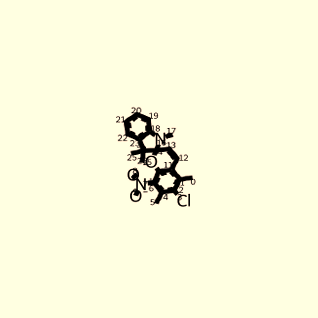 Cc1c(Cl)c(C)c([N+](=O)[O-])c2c1C=CC1(O2)N(C)c2ccccc2C1(C)C